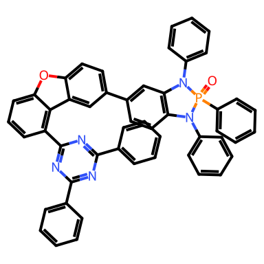 O=P1(c2ccccc2)N(c2ccccc2)c2ccc(-c3ccc4oc5cccc(-c6nc(-c7ccccc7)nc(-c7ccccc7)n6)c5c4c3)cc2N1c1ccccc1